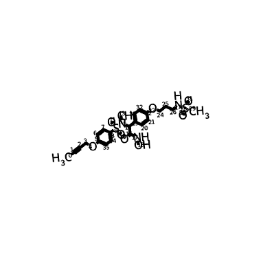 CC#CCOc1ccc(S(=O)(=O)N(C)C(C(=O)NO)c2ccc(OCCCNS(C)(=O)=O)cc2)cc1